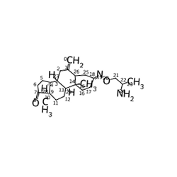 C=C1C[C@H]2[C@@H]3CCC(=O)[C@]3(C)CC[C@@H]2[C@@]2(C)CCC(=NOCC(C)N)CC12